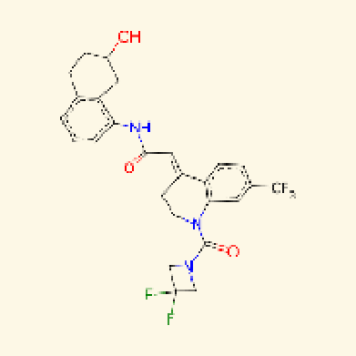 O=C(C=C1CCN(C(=O)N2CC(F)(F)C2)c2cc(C(F)(F)F)ccc21)Nc1cccc2c1CC(O)CC2